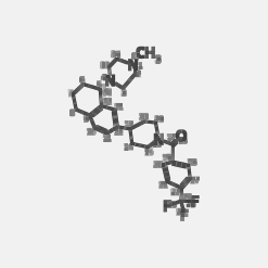 CN1CCN([C@H]2CCCc3ccc(C4CCN(C(=O)c5ccc(C(F)(F)F)cc5)CC4)cc32)CC1